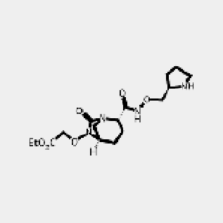 CCOC(=O)CON1C(=O)N2C[C@H]1CC[C@H]2C(=O)NOC[C@H]1CCCN1